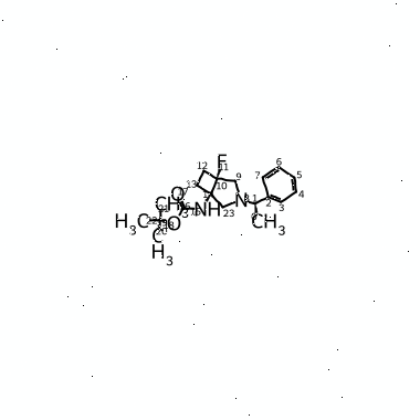 C[C@H](c1ccccc1)N1C[C@@]2(F)CC[C@@]2(NC(=O)OC(C)(C)C)C1